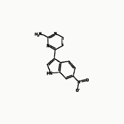 Nc1nccc(-c2c[nH]c3cc([N+](=O)[O-])ccc23)n1